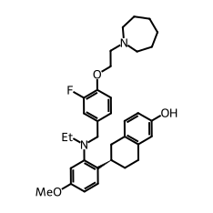 CCN(Cc1ccc(OCCN2CCCCCC2)c(F)c1)c1cc(OC)ccc1[C@@H]1CCc2cc(O)ccc2C1